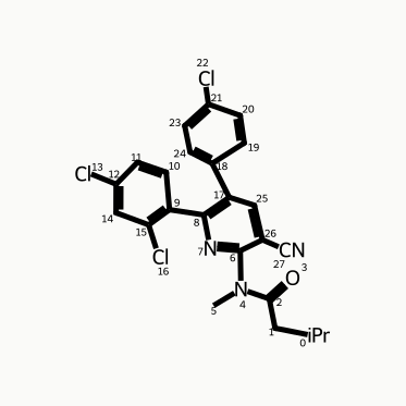 CC(C)CC(=O)N(C)c1nc(-c2ccc(Cl)cc2Cl)c(-c2ccc(Cl)cc2)cc1C#N